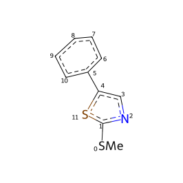 [CH2]Sc1ncc(-c2ccccc2)s1